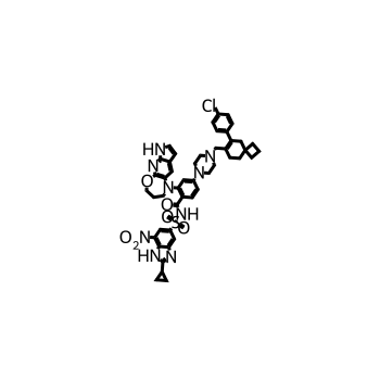 O=C(NS(=O)(=O)c1cc([N+](=O)[O-])c2[nH]c(C3CC3)nc2c1)c1ccc(N2CCN(CC3=C(c4ccc(Cl)cc4)CC4(CCC4)CC3)CC2)cc1N1CCCOc2nc3[nH]ccc3cc21